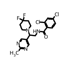 Cc1ncc(C(CNC(=O)c2ccc(Cl)cc2Cl)N2CCC(F)(F)CC2)cn1